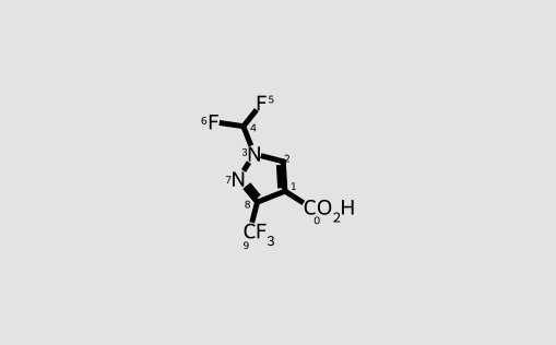 O=C(O)c1cn(C(F)F)nc1C(F)(F)F